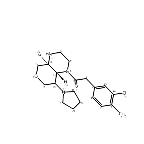 Cc1ccc(CC(=O)N2CCN[C@@H]3COCC(N4CCCC4)[C@H]32)cc1Cl